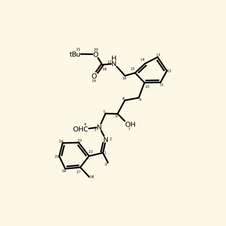 C/C(=N/N(C=O)CC(O)CCc1ccccc1CNC(=O)OC(C)(C)C)c1ccccc1C